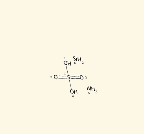 O=S(=O)(O)O.[AlH3].[SrH2]